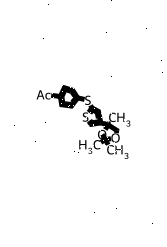 CC(=O)c1ccc(Sc2cc([C@@]3(C)COC(C)(C)O3)cs2)cc1